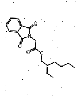 CCCCC(CC)COC(=O)CN1C(=O)c2ccccc2C1=O